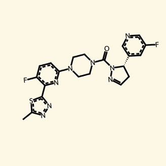 Cc1nnc(-c2nc(N3CCN(C(=O)N4N=CC[C@H]4c4cncc(F)c4)CC3)ccc2F)s1